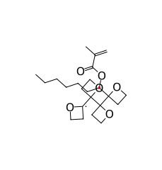 C=C(C)C(=O)OC(CCCCCC)C1(C2(C3([C]4CCO4)CCO3)CCO2)CCO1